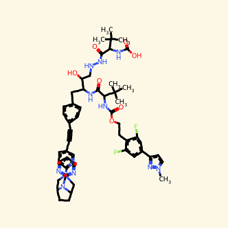 Cn1ccc(-c2cc(F)c(CCOC(=O)NC(C(=O)NC(Cc3ccc(C#Cc4ccc(N5CC6CCC(C5)N6c5ncccn5)nc4)cc3)C(O)CNNC(=O)C(NC(=O)O)C(C)(C)C)C(C)(C)C)c(F)c2)n1